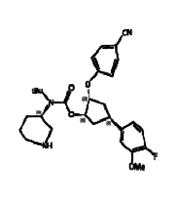 COc1cc([C@H]2C[C@@H](OC(=O)N([C@@H]3CCCNC3)C(C)(C)C)[C@H](Oc3ccc(C#N)cc3)C2)ccc1F